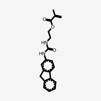 C=C(C)C(=O)OCCNC(=O)Nc1ccc2c(c1)Cc1ccccc1-2